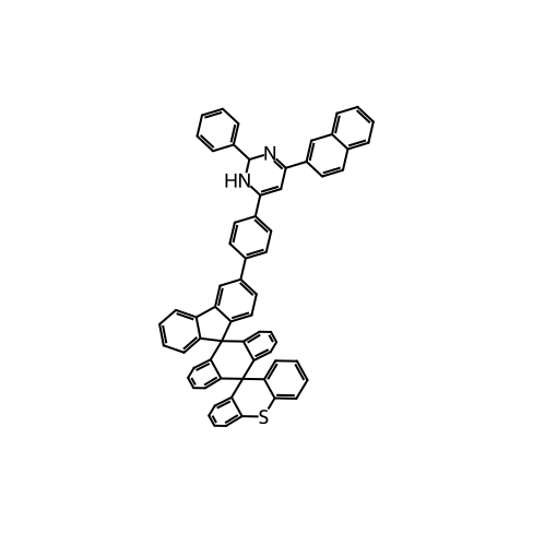 C1=C(c2ccc(-c3ccc4c(c3)-c3ccccc3C43c4ccccc4C4(c5ccccc5Sc5ccccc54)c4ccccc43)cc2)NC(c2ccccc2)N=C1c1ccc2ccccc2c1